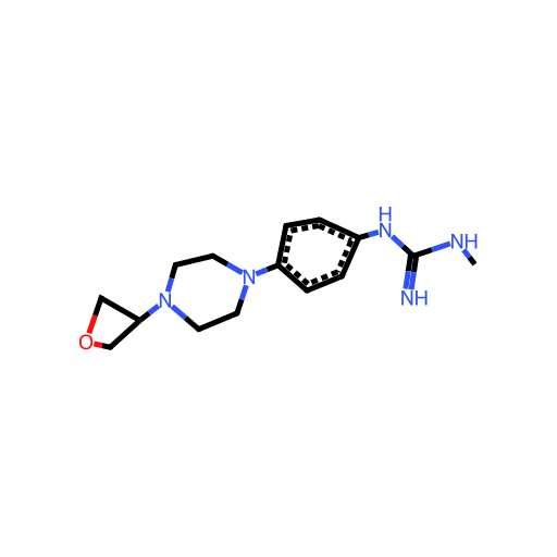 CNC(=N)Nc1ccc(N2CCN(C3COC3)CC2)cc1